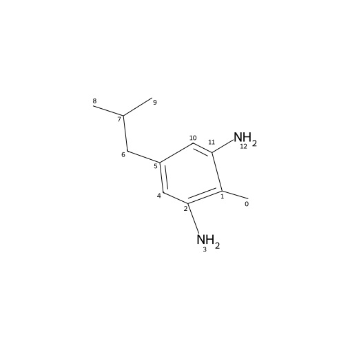 Cc1c(N)cc(CC(C)C)cc1N